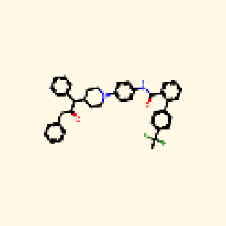 CC(F)(F)c1ccc(-c2ccccc2C(=O)Nc2ccc(N3CCC(C(C(=O)Cc4ccccc4)c4ccccc4)CC3)cc2)cc1